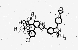 Cc1cc2nc(-c3ccc4c(c3)c(C3CCN(C5COC5)CC3)nn4C)sc2c(-c2ccc(Cl)cc2)c1C(OC(C)(C)C)C(=O)O